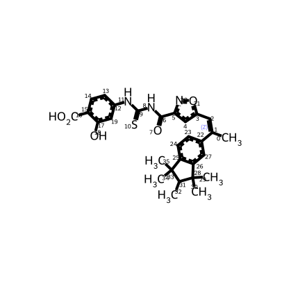 C/C(=C/c1cc(C(=O)NC(=S)Nc2ccc(C(=O)O)c(O)c2)no1)c1ccc2c(c1)C(C)(C)C(C)C2(C)C